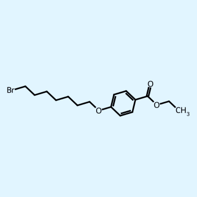 CCOC(=O)c1ccc(OCCCCCCCBr)cc1